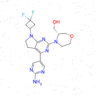 Nc1ncc(-c2nc(N3CCOC[C@H]3CO)nc3c2CCN3C2CC(F)(F)C2)cn1